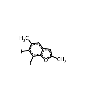 Cc1cc2cc(C)c(I)c(I)c2o1